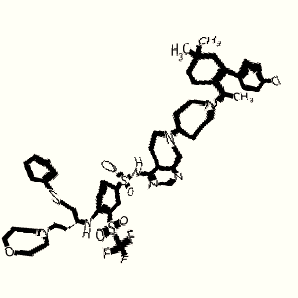 CC(C1=C(c2ccc(Cl)cc2)CC(C)(C)CC1)N1CCC(N2CCc3c(ncnc3NS(=O)(=O)c3ccc(N[C@H](CCN4CCOCC4)CSc4ccccc4)c(S(=O)(=O)C(F)(F)F)c3)C2)CC1